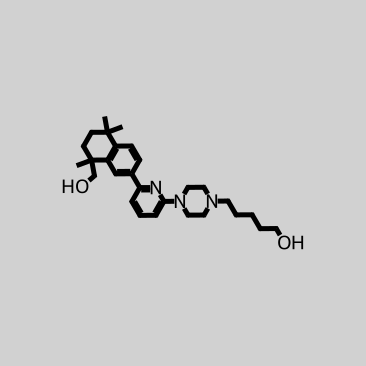 CC1(C)CCC(C)(CO)c2cc(-c3cccc(N4CCN(CCCCCO)CC4)n3)ccc21